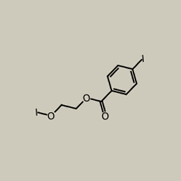 O=C(OCCOI)c1ccc(I)cc1